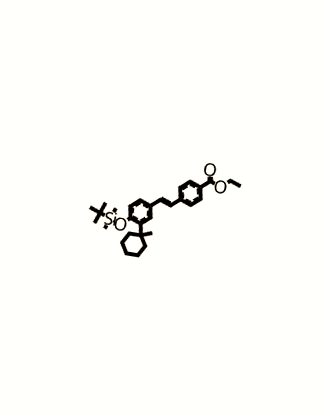 CCOC(=O)c1ccc(C=Cc2ccc(O[Si](C)(C)C(C)(C)C)c(C3(C)CCCCC3)c2)cc1